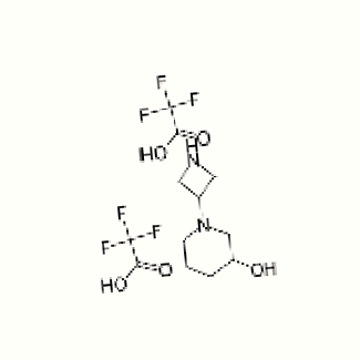 O=C(O)C(F)(F)F.O=C(O)C(F)(F)F.OC1CCCN(C2CNC2)C1